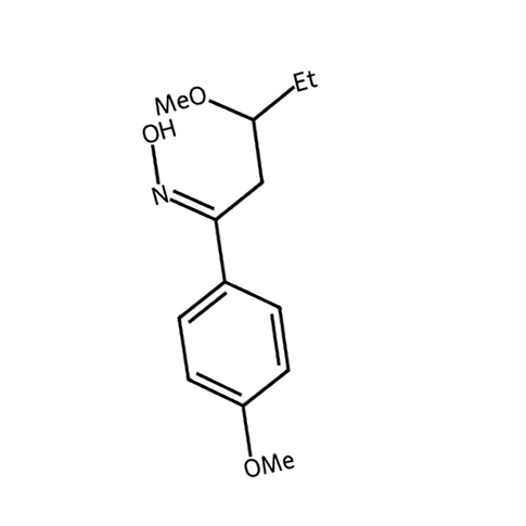 CCC(CC(=NO)c1ccc(OC)cc1)OC